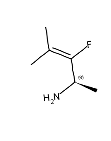 CC(C)=C(F)[C@@H](C)N